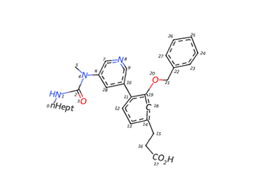 CCCCCCCNC(=O)N(C)c1cncc(-c2ccc(CCC(=O)O)cc2OCc2ccccc2)c1